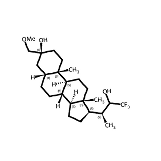 COC[C@]1(O)CC[C@@]2(C)[C@H](CC[C@@H]3[C@@H]2CC[C@]2(C)[C@@H]([C@H](C)C(O)C(F)(F)F)CC[C@@H]32)C1